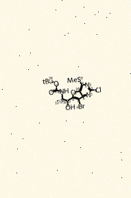 CSc1nc(Cl)nc2c(Br)c([C@@H](O)[C@H](C)NC(=O)OC(C)(C)C)oc12